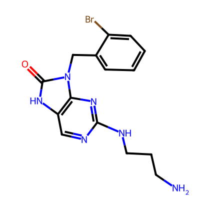 NCCCNc1ncc2[nH]c(=O)n(Cc3ccccc3Br)c2n1